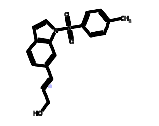 Cc1ccc(S(=O)(=O)n2ccc3ccc(/C=C/CO)cc32)cc1